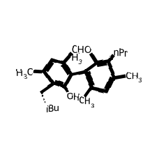 CCCc1c(C)cc(C)c(-c2c(C)cc(C)c(C[C@@H](C)CC)c2O)c1O